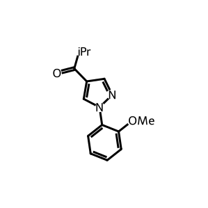 COc1ccccc1-n1cc(C(=O)C(C)C)cn1